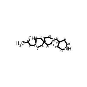 CC(C)CN1CCC2(CC1)CCN(CC1CCNCC1)CC2